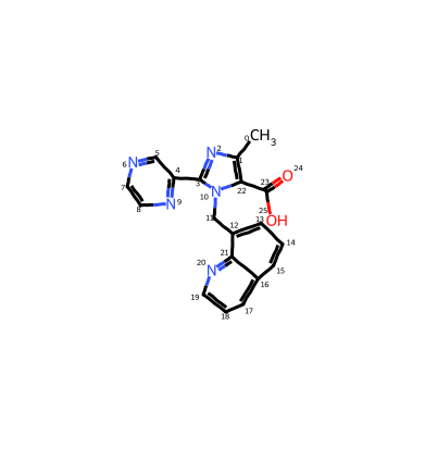 Cc1nc(-c2cnccn2)n(Cc2cccc3cccnc23)c1C(=O)O